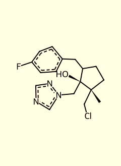 C[C@]1(CCl)CCC(Cc2ccc(F)cc2)[C@@]1(O)Cn1cncn1